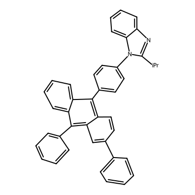 CC(C)c1nc2ccccc2n1-c1ccc(-c2c3ccccc3c(-c3ccccc3)c3cc(-c4ccccc4)ccc23)cc1